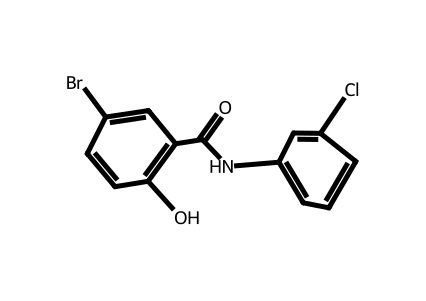 O=C(Nc1cccc(Cl)c1)c1cc(Br)ccc1O